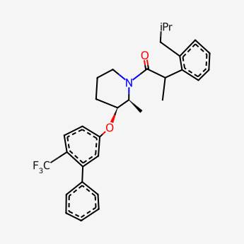 CC(C)Cc1ccccc1C(C)C(=O)N1CCC[C@H](Oc2ccc(C(F)(F)F)c(-c3ccccc3)c2)[C@@H]1C